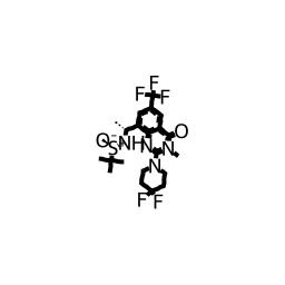 C[C@@H](N[S@+]([O-])C(C)(C)C)c1cc(C(F)(F)F)cc2c(=O)n(C)c(N3CCC(F)(F)CC3)nc12